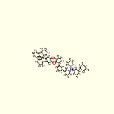 c1ccc(-c2cccc(N(c3ccccc3)c3cccc(-c4cccc(-c5cccc6c5Oc5cc7c(cc5O6)C5(c6ccccc6-c6ccccc65)c5ccccc5-7)c4)c3)c2)cc1